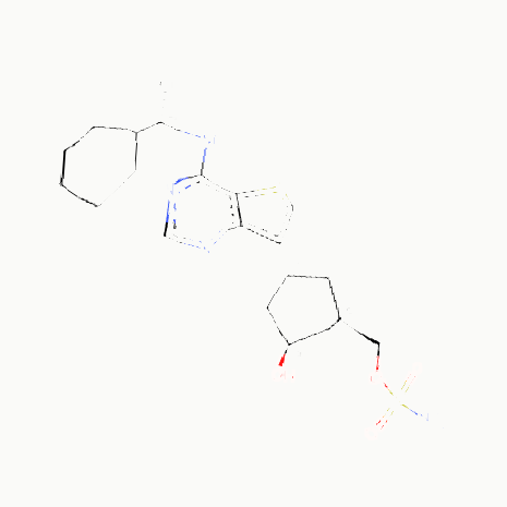 C[C@H](Nc1ncnc2c([C@@H]3C[C@@H](COS(N)(=O)=O)[C@@H](O)C3)csc12)C1CCCCC1